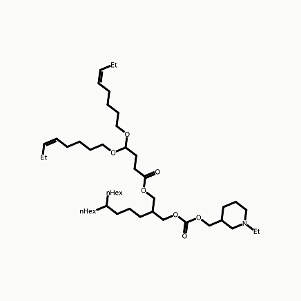 C[CH]CCCCC(CCCCCC)CCCC(COC(=O)CCC(OCCCC/C=C\CC)OCCCC/C=C\CC)COC(=O)OCC1CCCN(CC)C1